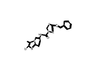 CCc1nc2ccc(NC(=O)N3CSC(CCc4ccccc4)=N3)cn2c1C